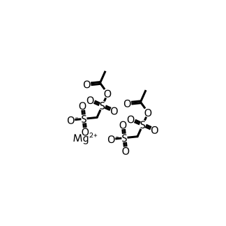 CC(=O)OS(=O)(=O)CS(=O)(=O)[O-].CC(=O)OS(=O)(=O)CS(=O)(=O)[O-].[Mg+2]